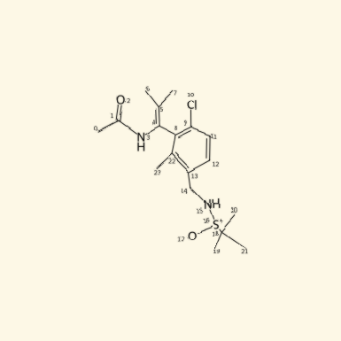 CC(=O)NC(=C(C)C)c1c(Cl)ccc(CN[S+]([O-])C(C)(C)C)c1C